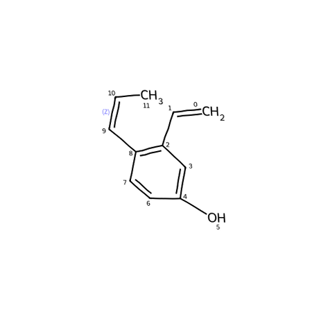 C=Cc1cc(O)ccc1/C=C\C